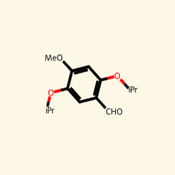 COc1cc(OC(C)C)c(C=O)cc1OC(C)C